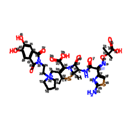 C[C@@H]1S[C@@H]2[C@H](NC(=O)/C(=N\OC(C)(C)C(=O)O)c3csc(N)n3)C(=O)N2C(C(=O)O)=C1C[N+]1(CCN2C(=O)c3cc(O)c(O)cc3C2=O)CCCC1